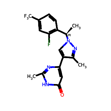 Cc1nc(-c2cn([C@H](C)c3ccc(C(F)(F)F)cc3F)nc2C)cc(=O)[nH]1